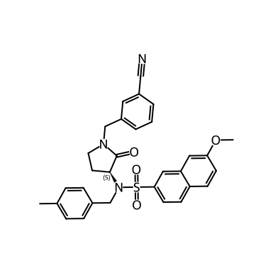 COc1ccc2ccc(S(=O)(=O)N(Cc3ccc(C)cc3)[C@H]3CCN(Cc4cccc(C#N)c4)C3=O)cc2c1